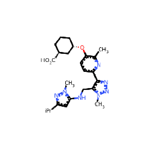 Cc1nc(-c2nnn(C)c2CNc2cc(C(C)C)nn2C)ccc1O[C@H]1CCC[C@H](C(=O)O)C1